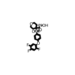 O=C(NO)C1(S(=O)(=O)c2ccc(Oc3cc(F)c(F)cc3F)cc2)CCOCC1